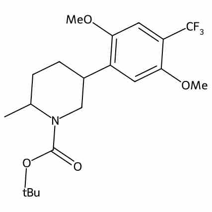 COc1cc(C(F)(F)F)c(OC)cc1C1CCC(C)N(C(=O)OC(C)(C)C)C1